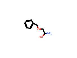 NC(O)COCc1ccccc1